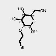 OC[C@H]1O[C@@H](O)[C@H](OCCBr)[C@@H](O)[C@H]1O